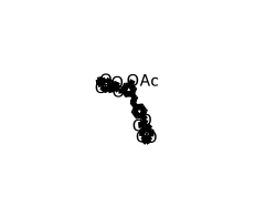 CC(=O)Oc1cc(/C=C/c2ccc(OC(=O)C3(C)COC(C)(C)OC3)cc2)cc(OC(=O)C2(C)COC(C)(C)OC2)c1